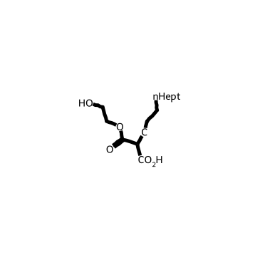 CCCCCCCCCCC(C(=O)O)C(=O)OCCO